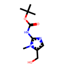 Cn1c(CO)cnc1NC(=O)OC(C)(C)C